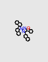 c1ccc2cc(-c3nc(-n4c5ccc6ccccc6c5c5ccc6ccccc6c54)nc4oc5ccccc5c34)ccc2c1